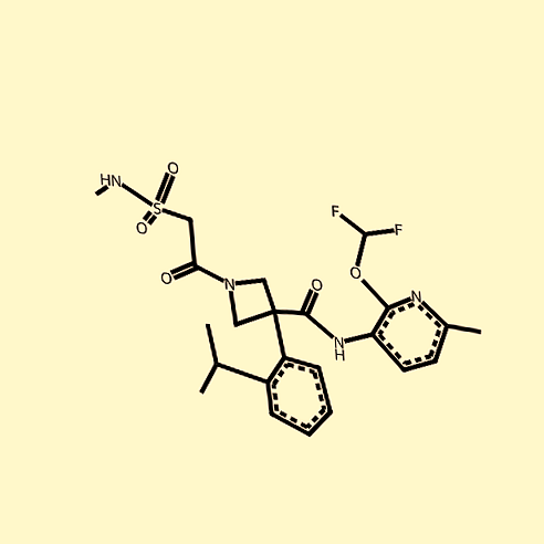 CNS(=O)(=O)CC(=O)N1CC(C(=O)Nc2ccc(C)nc2OC(F)F)(c2ccccc2C(C)C)C1